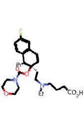 CCN(CCCC(=O)O)CC[C@@]1(OC(=O)N2CCOCC2)CCc2cc(F)ccc2[C@@H]1C(C)C